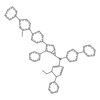 CCC1C=C(N(c2ccc(-c3ccccc3)cc2)c2c3cc(-c4ccc(-c5ccc(-c6ccccc6)cc5C)cc4)c(-c4ccccc4)c2-3)C=CC1c1ccccc1